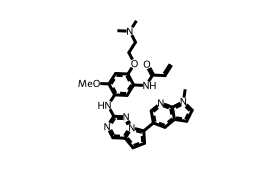 C=CC(=O)Nc1cc(Nc2ncc3ccc(-c4cnc5c(ccn5C)c4)n3n2)c(OC)cc1OCCN(C)C